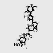 Cc1cc(-c2cc(C(=O)N3CC[C@@H](C(=O)N[C@H]4CC[C@@](O)(C(F)(F)F)CC4)CC34CC4)n[nH]2)c(F)cn1